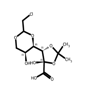 CC1(C)O[C@@H]([C@@H]2OC(CCl)OC[C@@H]2O)[C@@](O)(C(=O)O)O1